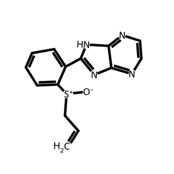 C=CC[S+]([O-])c1ccccc1-c1nc2nccnc2[nH]1